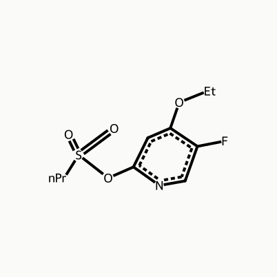 CCCS(=O)(=O)Oc1cc(OCC)c(F)cn1